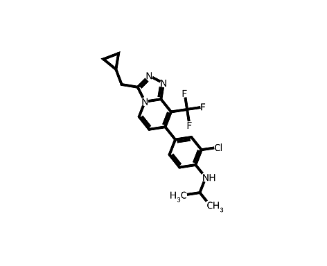 CC(C)Nc1ccc(-c2ccn3c(CC4CC4)nnc3c2C(F)(F)F)cc1Cl